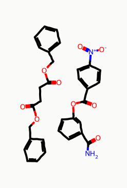 NC(=O)c1cccc(OC(=O)c2ccc([N+](=O)[O-])cc2)c1.O=C(CCC(=O)OCc1ccccc1)OCc1ccccc1